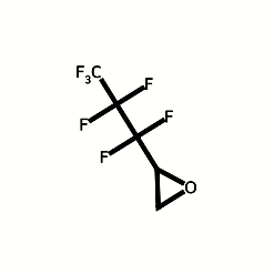 FC(F)(F)C(F)(F)C(F)(F)C1CO1